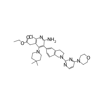 CCOC(=O)Cc1c(Cl)nc(N)c(-c2ccc3c(c2)CCN(c2nccc(N4CCOCC4)n2)C3)c1N1CCC(C)(C)CC1